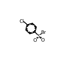 O=S(=O)(Br)c1ccc(Cl)cc1